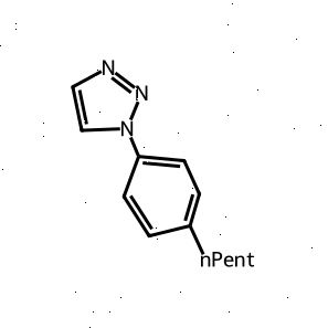 CCCCCc1ccc(-n2ccnn2)cc1